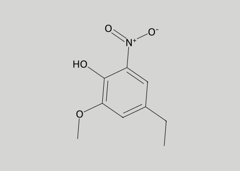 CCc1cc(OC)c(O)c([N+](=O)[O-])c1